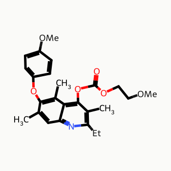 CCc1nc2cc(C)c(Oc3ccc(OC)cc3)c(C)c2c(OC(=O)OCCOC)c1C